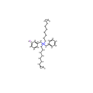 CCCCCCCC[N+](CCCCCCCC)(Cc1ccccc1)Cc1ccccc1.[I-]